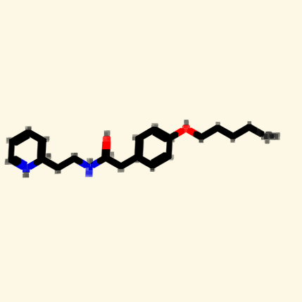 CCCCCCCCCCCCCCOc1ccc(CC(=O)NCCc2ccccn2)cc1